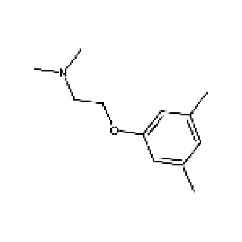 Cc1cc(C)cc(OCCN(C)C)c1